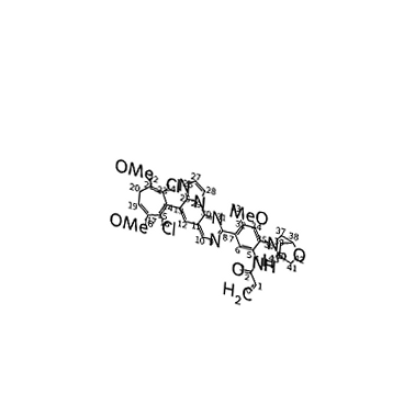 C=CC(=O)Nc1cc(-c2ncc3cc(C4=C(Cl)C(OC)=CCC(OC)=C4Cl)c4nccn4c3n2)c(OC)cc1N1CC2C[C@H]1CO2